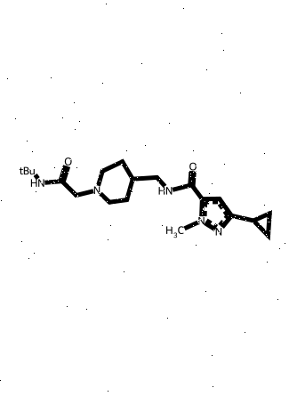 Cn1nc(C2CC2)cc1C(=O)NCC1CCN(CC(=O)NC(C)(C)C)CC1